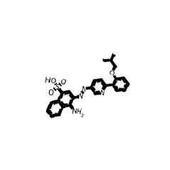 CC(C)COc1ccccc1-c1ccc(N=Nc2cc(S(=O)(=O)O)c3ccccc3c2N)cn1